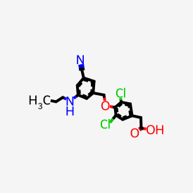 CCCNc1cc(C#N)cc(COc2c(Cl)cc(CC(=O)O)cc2Cl)c1